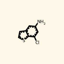 Nc1cc(Cl)c2sccc2c1